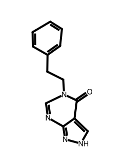 O=c1c2c[nH]nc2ncn1CCc1ccccc1